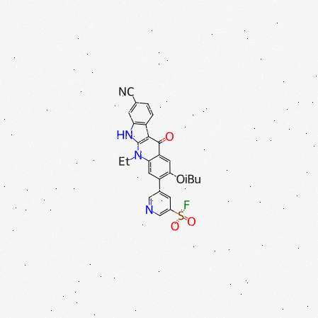 CCn1c2cc(-c3cncc(S(=O)(=O)F)c3)c(OCC(C)C)cc2c(=O)c2c3ccc(C#N)cc3[nH]c21